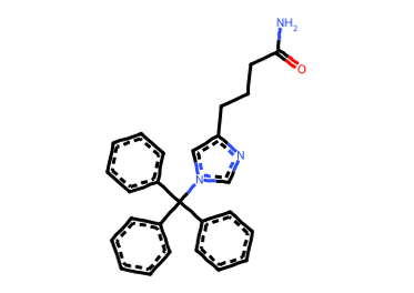 NC(=O)CCCc1cn(C(c2ccccc2)(c2ccccc2)c2ccccc2)cn1